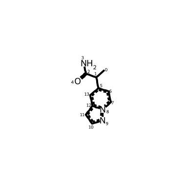 CC(C(N)=O)c1ccn2nccc2c1